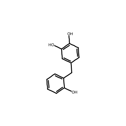 Oc1ccc(Cc2ccccc2O)cc1O